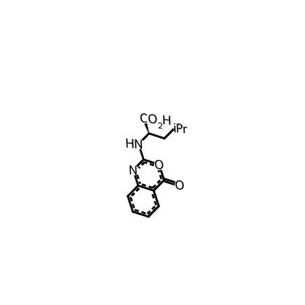 CC(C)C[C@@H](Nc1nc2ccccc2c(=O)o1)C(=O)O